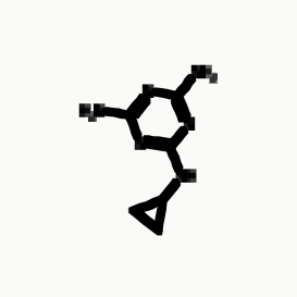 Nc1nc(N)nc(NC2CC2)n1